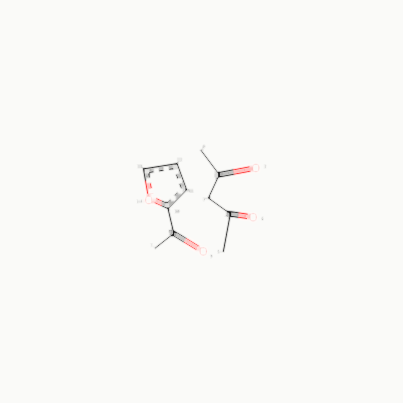 CC(=O)CC(C)=O.CC(=O)c1ccco1